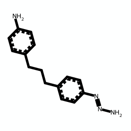 NN=Nc1ccc(CCCc2ccc(N)cc2)cc1